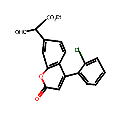 CCOC(=O)C(C=O)c1ccc2c(-c3ccccc3Cl)cc(=O)oc2c1